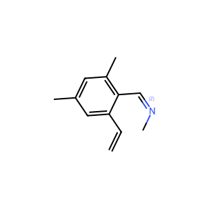 C=Cc1cc(C)cc(C)c1/C=N\C